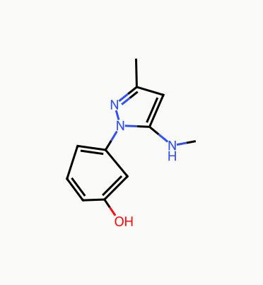 CNc1cc(C)nn1-c1cccc(O)c1